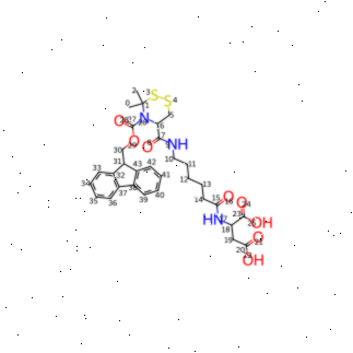 CC1(C)SSCC(C(=O)NCCCCCC(=O)NC(CC(=O)O)C(=O)O)N1C(=O)OCC1c2ccccc2-c2ccccc21